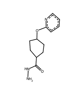 NNC(=O)C1CCC(Oc2ccccn2)CC1